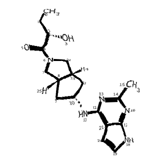 CC[C@H](O)C(=O)N1C[C@H]2C[C@@H](Nc3nc(C)nc4[nH]ccc34)C[C@H]2C1